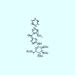 CC(=O)OC[C@H]1O[C@H](Nc2ncc(C(=O)c3sc(-c4cnccn4)nc3C)s2)[C@@H](OC(C)=O)[C@@H](OC(C)=O)[C@@H]1OC(C)=O